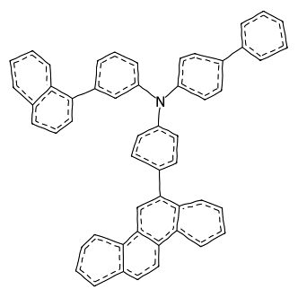 c1ccc(-c2ccc(N(c3ccc(-c4cc5c6ccccc6ccc5c5ccccc45)cc3)c3cccc(-c4cccc5ccccc45)c3)cc2)cc1